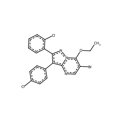 CCOc1c(Br)cnc2c(-c3ccc(Cl)cc3)c(-c3ccccc3Cl)nn12